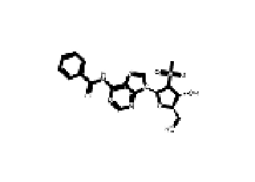 CS(=O)(=O)C1[C@H](n2cnc3c(NC(=O)c4ccccc4)ncnc32)O[C@H](CO)[C@H]1O